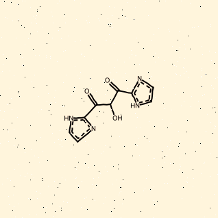 O=C(c1ncc[nH]1)C(O)C(=O)c1ncc[nH]1